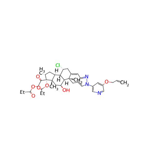 C=CCOc1cncc(-n2cc3c(n2)C=C2C[C@@H](Cl)[C@@H]4[C@H]([C@@H](O)C[C@@]5(C)[C@H]4C[C@@H](C)[C@]5(OC(=O)CC)C(=O)COC(=O)CC)[C@@]2(C)C3)c1